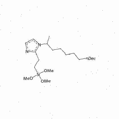 CCCCCCCCCCCCCCCC(C)n1ccnc1CC[Si](OC)(OC)OC